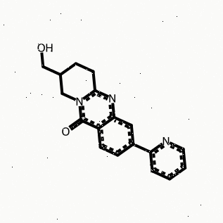 O=c1c2ccc(-c3ccccn3)cc2nc2n1CC(CO)CC2